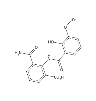 CC(C)Oc1cccc(C(=O)Nc2c(C(N)=O)cccc2C(=O)O)c1O